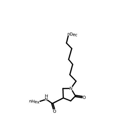 CCCCCCCCCCCCCCCCN1CC(C(=O)NCCCCCC)CC1=O